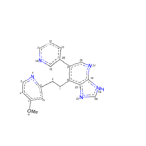 COc1ccnc(CCc2c(-c3cccnc3)cnc3[nH]cnc23)c1